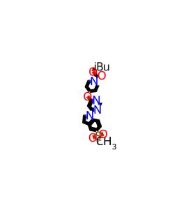 CCC(C)OC(=O)N1CCC(Oc2cc(N3CCc4cc(S(C)(=O)=O)ccc43)ncn2)CC1